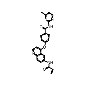 C=CC(=O)Nc1ccc2nccc(Oc3ccc(C(=O)Nc4nccc(C)n4)cc3)c2c1